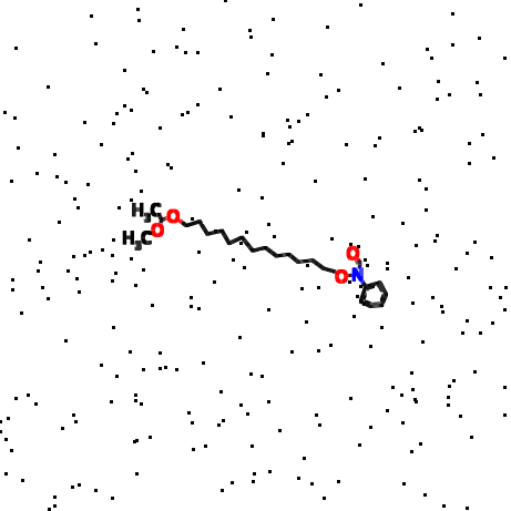 COC(C)OCCCCCCCCCCCCCCON(C=O)c1ccccc1